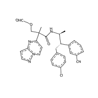 C[C@H](NC(=O)C(C)(COC=O)c1ccn2nccc2n1)[C@@H](Cc1ccc(Cl)cc1)c1cccc(C#N)c1